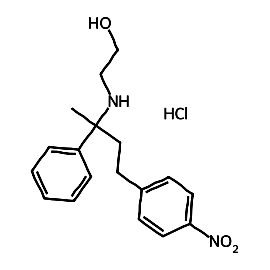 CC(CCc1ccc([N+](=O)[O-])cc1)(NCCO)c1ccccc1.Cl